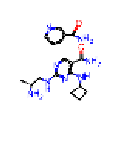 C[C@H](N)CNc1ncc(C(N)=O)c(NC2CCC2)n1.NC(=O)c1cccnc1